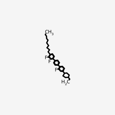 C=CC1CCC(c2ccc(-c3ccc(-c4ccc(CCCCCCCCCC)c(F)c4F)cc3)c(F)c2)CC1